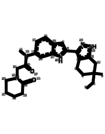 CCC1(C)CCc2c(-c3cc4ccc(N(C)C(=O)CN5CCCCC5=O)cc4[nH]3)n[nH]c2C1